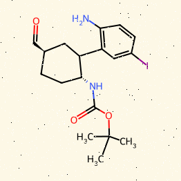 CC(C)(C)OC(=O)N[C@@H]1CC[C@@H](C=O)CC1c1cc(I)ccc1N